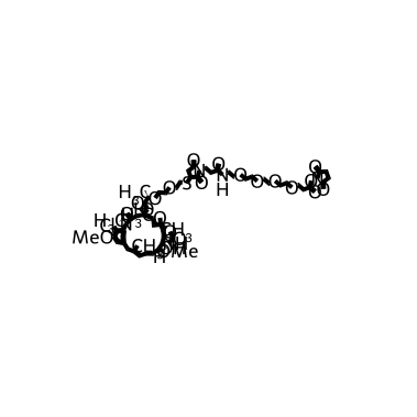 COc1cc2cc(c1Cl)N(C)C(=O)C[C@H](OC(=O)[C@H](C)OCCOCCSC1CC(=O)N(CCC(=O)NCCOCCOCCOCCOCCC(=O)ON3C(=O)CCC3=O)C1=O)[C@@]1(C)CC(C)(O1)C1C[C@@](O)(NC(=O)O1)[C@H](OC)/C=C/C=C(\C)C2